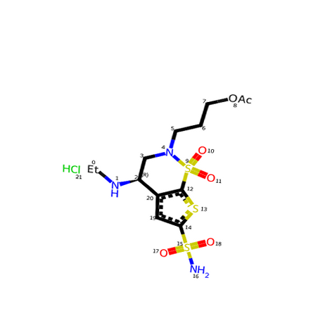 CCN[C@H]1CN(CCCOC(C)=O)S(=O)(=O)c2sc(S(N)(=O)=O)cc21.Cl